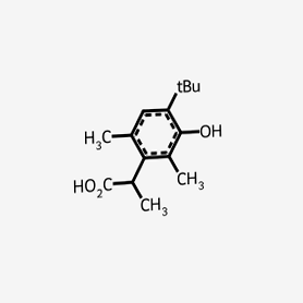 Cc1cc(C(C)(C)C)c(O)c(C)c1C(C)C(=O)O